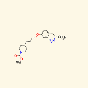 CC(C)(C)OC(=O)N1CCC(CCCCOc2ccc(CC(N)C(=O)O)cc2)CC1